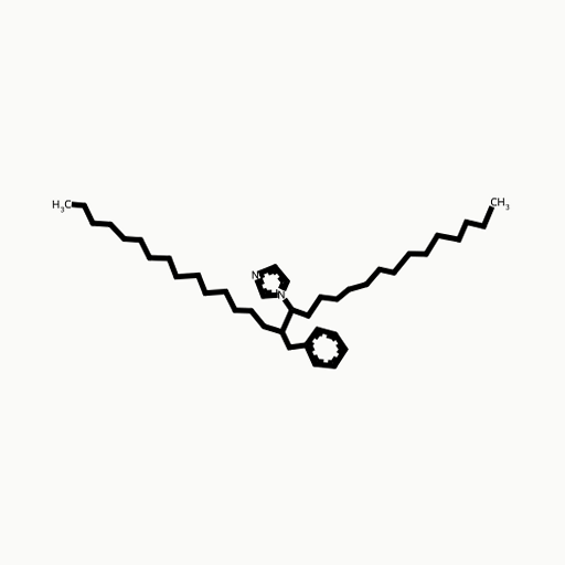 CCCCCCCCCCCCCCCC(Cc1ccccc1)C(CCCCCCCCCCCCCC)n1ccnc1